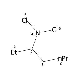 CCCCC(CC)N(Cl)Cl